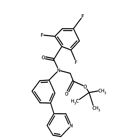 CC(C)(C)OC(=O)CN(C(=O)c1c(F)cc(F)cc1F)c1cccc(-c2cccnc2)c1